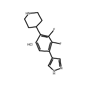 Cl.Fc1c(-c2cn[nH]c2)ccc(C2CCNCC2)c1F